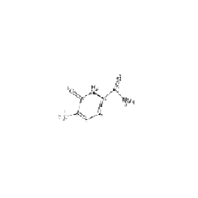 CNC(=O)c1ccc(C(F)(F)F)c(=O)[nH]1